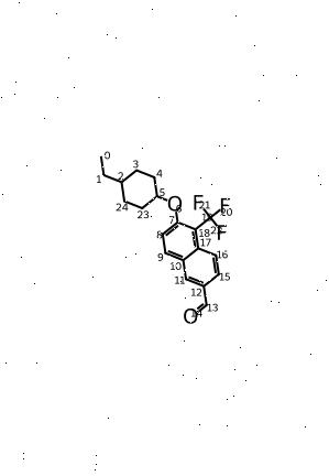 CCC1CCC(Oc2ccc3cc(C=O)ccc3c2C(F)(F)F)CC1